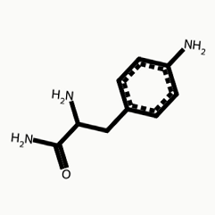 NC(=O)C(N)Cc1ccc(N)cc1